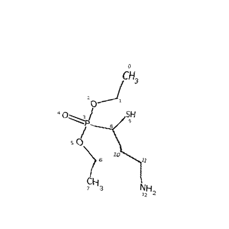 CCOP(=O)(OCC)C(S)CCN